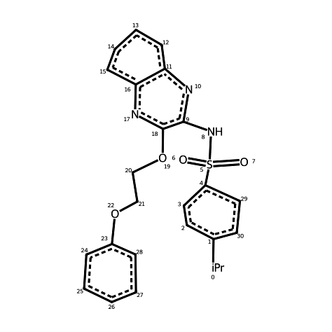 CC(C)c1ccc(S(=O)(=O)Nc2nc3ccccc3nc2OCCOc2ccccc2)cc1